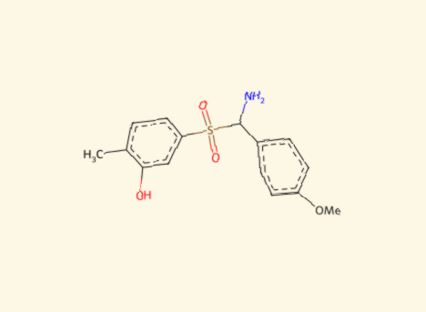 COc1ccc(C(N)S(=O)(=O)c2ccc(C)c(O)c2)cc1